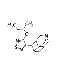 CCC(C)Oc1nsnc1C1C2CC3CC1CN(C3)C2